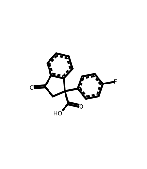 O=C1CC(C(=O)O)(c2ccc(F)cc2)c2ccccc21